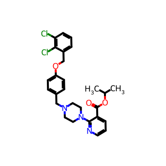 CC(C)OC(=O)c1cccnc1N1CCN(Cc2ccc(OCc3cccc(Cl)c3Cl)cc2)CC1